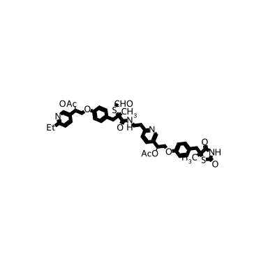 CCc1ccc([C@@H](COc2ccc(CC(C)(SC=O)C(=O)NCCc3ccc([C@H](COc4ccc(CC5(C)SC(=O)NC5=O)cc4)OC(C)=O)cn3)cc2)OC(C)=O)cn1